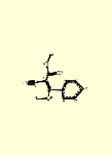 COC(=O)C(C#N)=C(OC)c1ccccc1